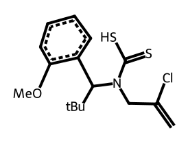 C=C(Cl)CN(C(=S)S)C(c1ccccc1OC)C(C)(C)C